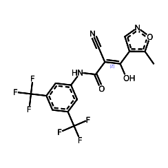 Cc1oncc1/C(O)=C(\C#N)C(=O)Nc1cc(C(F)(F)F)cc(C(F)(F)F)c1